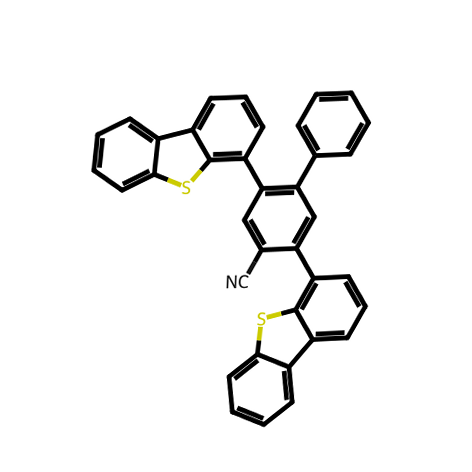 N#Cc1cc(-c2cccc3c2sc2ccccc23)c(-c2ccccc2)cc1-c1cccc2c1sc1ccccc12